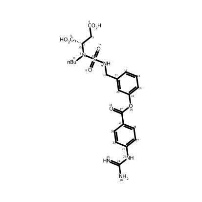 CCCCN([C@@H](CC(=O)O)C(=O)O)S(=O)(=O)NCc1cccc(OC(=O)c2ccc(NC(=N)N)cc2)c1